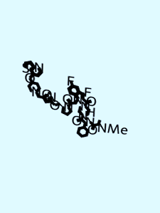 CN[C@@H](C)C(=O)NC(C(=O)N1CCN(C(=O)c2c(F)c3cc(F)ccc3n2CC(=O)N2CCC[C@H]2COc2cc(CN3CCC(Oc4ccnc5ccsc45)CC3)on2)CC1)C1CCCCC1